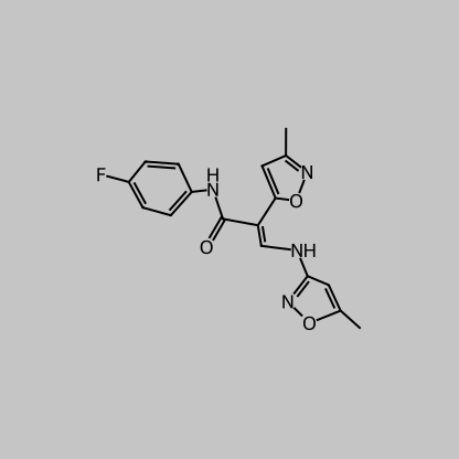 Cc1cc(C(=CNc2cc(C)on2)C(=O)Nc2ccc(F)cc2)on1